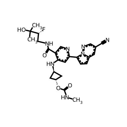 CNC(=O)O[C@H]1C[C@H](Nc2cc(-c3ccc4cc(C#N)cnn34)ncc2C(=O)NC[C@@H](F)C(C)(C)O)C1